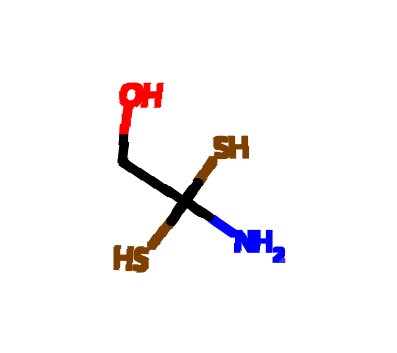 NC(S)(S)CO